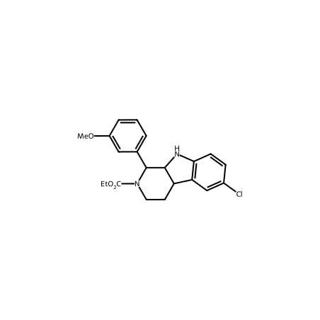 CCOC(=O)N1CCC2c3cc(Cl)ccc3NC2C1c1cccc(OC)c1